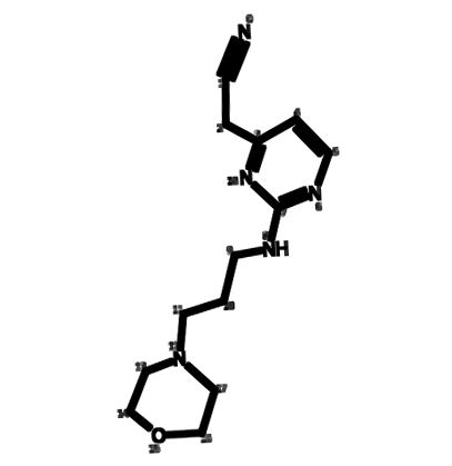 N#CCc1ccnc(NCCCN2CCOCC2)n1